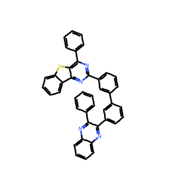 c1ccc(-c2nc3ccccc3nc2-c2cccc(-c3cccc(-c4nc(-c5ccccc5)c5sc6ccccc6c5n4)c3)c2)cc1